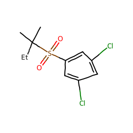 CCC(C)(C)S(=O)(=O)c1cc(Cl)cc(Cl)c1